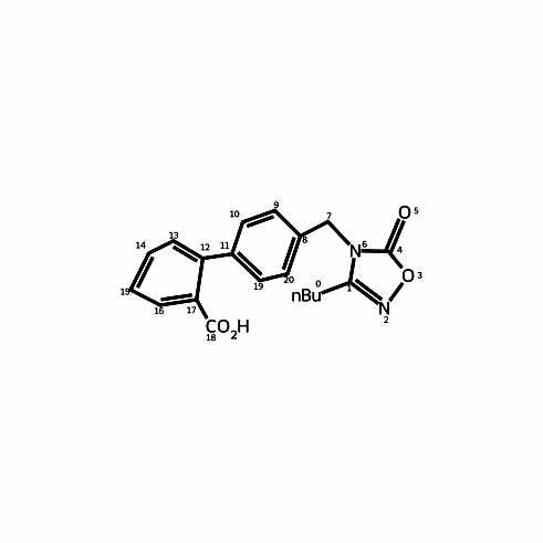 CCCCc1noc(=O)n1Cc1ccc(-c2ccccc2C(=O)O)cc1